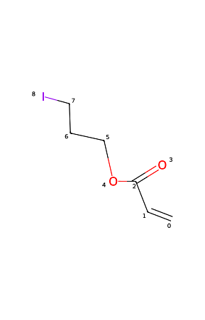 C=CC(=O)OCCCI